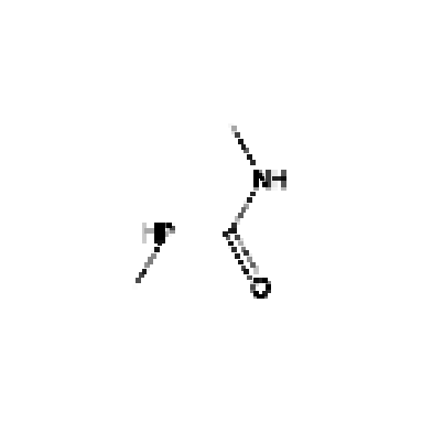 CNC(=O)PC